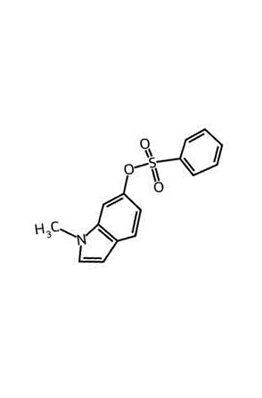 Cn1ccc2ccc(OS(=O)(=O)c3ccccc3)cc21